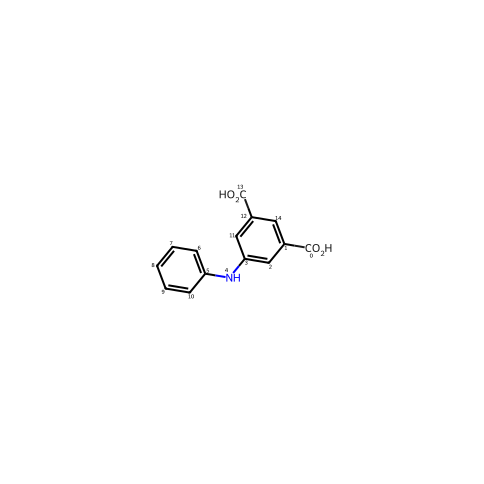 O=C(O)c1cc(Nc2ccccc2)cc(C(=O)O)c1